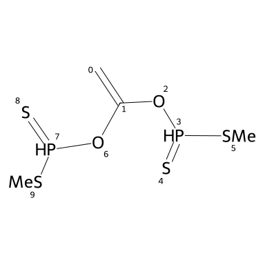 C=C(O[PH](=S)SC)O[PH](=S)SC